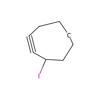 IC1C#CCCCCC1